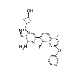 Cc1cc(Oc2ccccc2)nc2c(F)c(-c3cn4c(C5CC(O)C5)ncc4c(N)n3)ccc12